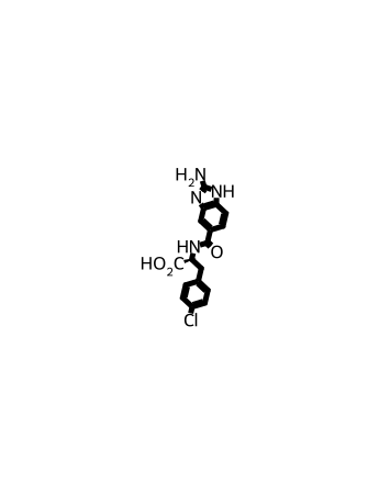 Nc1nc2cc(C(=O)N[C@@H](Cc3ccc(Cl)cc3)C(=O)O)ccc2[nH]1